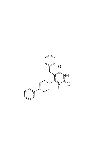 O=c1[nH]c(C2CC=C(c3ccccc3)CC2)c(Cc2ccccc2)c(=O)[nH]1